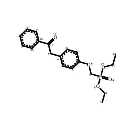 CCOP(=O)(COc1ccc(CC(=O)c2ccccc2)cc1)OCC